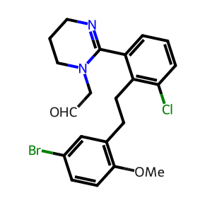 COc1ccc(Br)cc1CCc1c(Cl)cccc1C1=NCCCN1CC=O